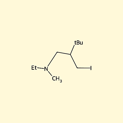 CCN(C)CC(CI)C(C)(C)C